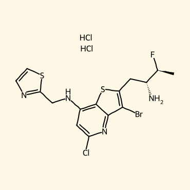 C[C@H](F)[C@H](N)Cc1sc2c(NCc3nccs3)cc(Cl)nc2c1Br.Cl.Cl